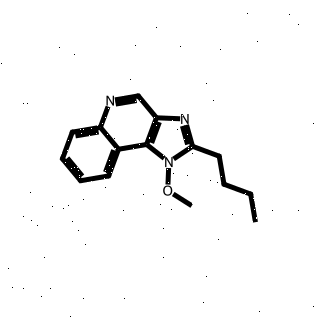 CCCCc1nc2cnc3ccccc3c2n1OC